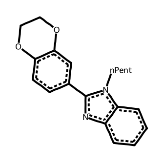 CCCCCn1c(-c2ccc3c(c2)OCCO3)nc2ccccc21